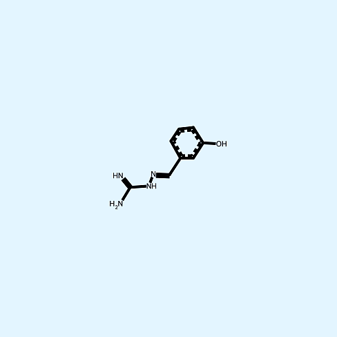 N=C(N)NN=Cc1cccc(O)c1